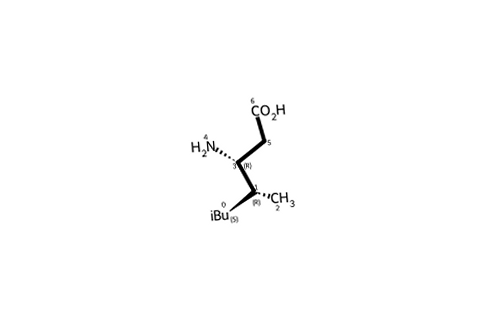 CC[C@H](C)[C@@H](C)[C@H](N)CC(=O)O